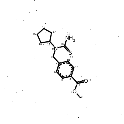 COC(=O)c1ccc(CN(C(N)=S)C2CCCC2)cc1